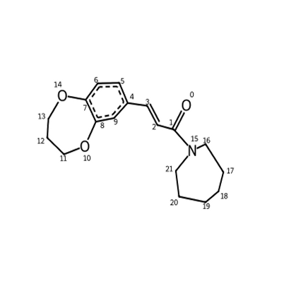 O=C(C=Cc1ccc2c(c1)OCCCO2)N1CCCCCC1